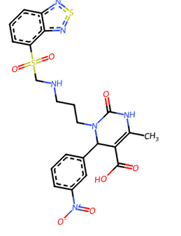 CC1=C(C(=O)O)C(c2cccc([N+](=O)[O-])c2)N(CCCNCS(=O)(=O)c2cccc3nsnc23)C(=O)N1